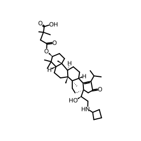 CC(C)C1=C2[C@H]3CC[C@@H]4[C@@]5(C)CC[C@H](OC(=O)CC(C)(C)C(=O)O)C(C)(C)[C@H]5CC[C@@]4(C)[C@]3(C)CC[C@@]2([C@H](O)CNC2CCC2)CC1=O